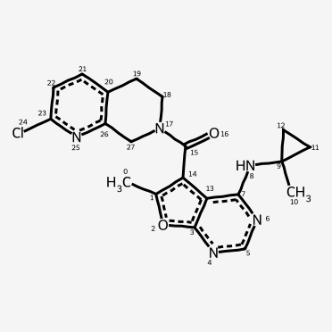 Cc1oc2ncnc(NC3(C)CC3)c2c1C(=O)N1CCc2ccc(Cl)nc2C1